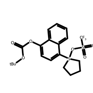 CC(C)(C)OC(=O)Oc1ccc(S2(OS(=O)(=O)C(F)(F)F)CCCC2)c2ccccc12